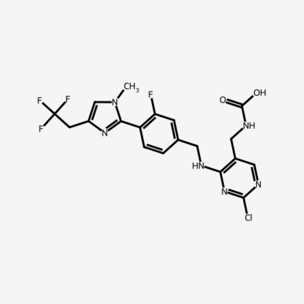 Cn1cc(CC(F)(F)F)nc1-c1ccc(CNc2nc(Cl)ncc2CNC(=O)O)cc1F